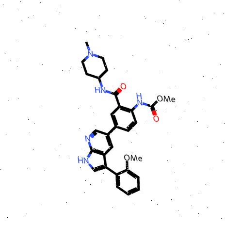 COC(=O)Nc1ccc(-c2cnc3[nH]cc(-c4ccccc4OC)c3c2)cc1C(=O)NC1CCN(C)CC1